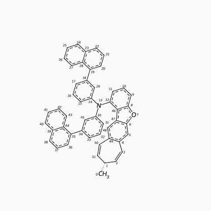 C[C@H]1C=Cc2cc3oc4cccc(N(c5cccc(-c6cccc7ccccc67)c5)c5cccc(-c6cccc7ccccc67)c5)c4c3cc2C=C1